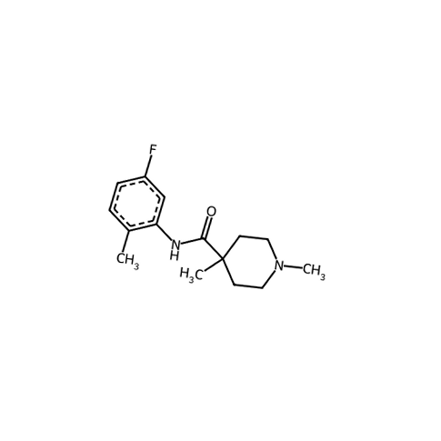 Cc1ccc(F)cc1NC(=O)C1(C)CCN(C)CC1